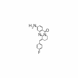 Nc1ccc2c(=O)n3c(nc2c1)C(=Cc1ccc(F)cc1)CCC3